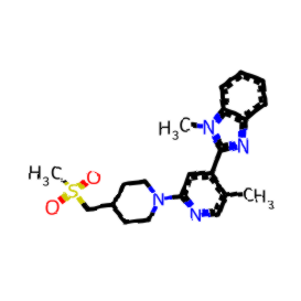 Cc1cnc(N2CCC(CS(C)(=O)=O)CC2)cc1-c1nc2ccccc2n1C